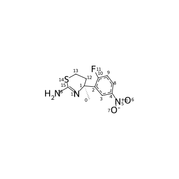 C[C@@]1(c2cc([N+](=O)[O-])ccc2F)CCSC(N)=N1